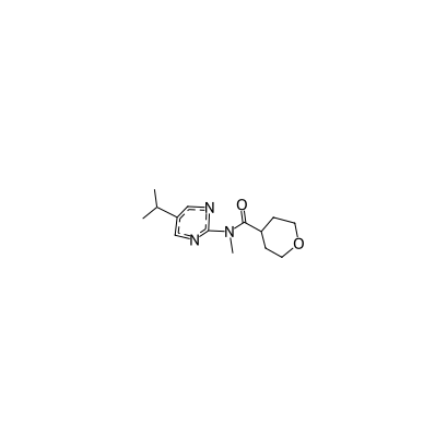 CC(C)c1cnc(N(C)C(=O)C2CCOCC2)nc1